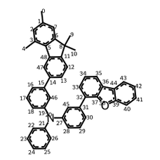 Cc1cc(C)c2c(c1)C(C)(C)c1ccc(-c3cccc(N(c4ccccc4)c4cccc(-c5cccc6c5oc5ccccc56)c4)c3)cc1-2